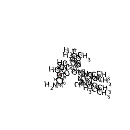 C#C[C@@]1(O)[C@@H](COC(Cc2ccc(N)cc2)(C(=O)O)c2cscn2)O[C@@H](n2cnc3c(N(C(=O)OC(C)(C)C)C(=O)OC(C)(C)C)nc(Cl)nc32)[C@@H]1OC(=O)OC(C)(C)C